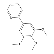 COc1cc(-c2ccccn2)cc(OC)c1OC